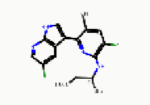 CC(C)(C)[C@@H](CC(=O)O)Nc1nc(-c2c[nH]c3ncc(F)cc23)c(C#N)cc1F